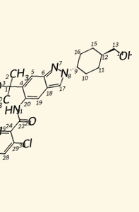 CC(C)(O)c1cc2nn([C@H]3CC[C@H](CO)CC3)cc2cc1NC(=O)c1ncccc1Cl